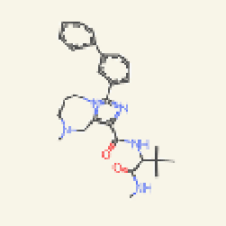 CNC(=O)C(NC(=O)c1nc(-c2cccc(-c3ccccc3)c2)n2c1CN(C)CCC2)C(C)(C)C